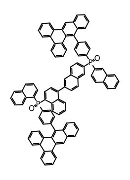 O=P(c1ccc(-c2c3ccccc3cc3c4ccccc4c4ccccc4c23)cc1)(c1ccc2ccccc2c1)c1ccc2cc(-c3ccc(P(=O)(c4ccc(-c5c6ccccc6cc6c7ccccc7c7ccccc7c56)cc4)c4cccc5ccccc45)c4ccccc34)ccc2c1